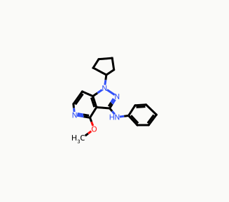 COc1nccc2c1c(Nc1ccccc1)nn2C1CCCC1